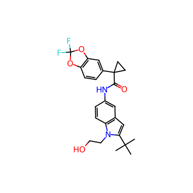 CC(C)(C)c1cc2cc(NC(=O)C3(c4ccc5c(c4)OC(F)(F)O5)CC3)ccc2n1CCO